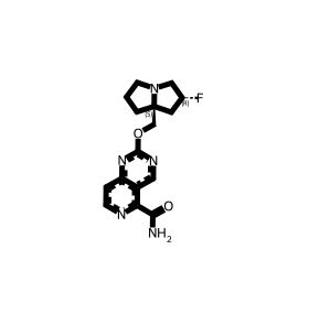 NC(=O)c1nccc2nc(OC[C@@]34CCCN3C[C@H](F)C4)ncc12